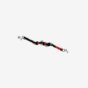 C=COCCCCCCCCCCCOc1ccc(C#CC(=O)Oc2ccc(OC(=O)C3CCC(OCCCCCCCCCCCOC=C)CC3)cc2)cc1